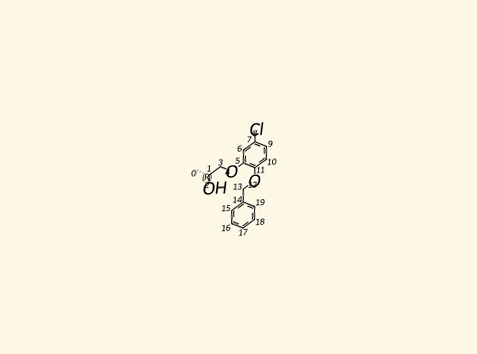 C[C@@H](O)COc1cc(Cl)ccc1OCc1ccccc1